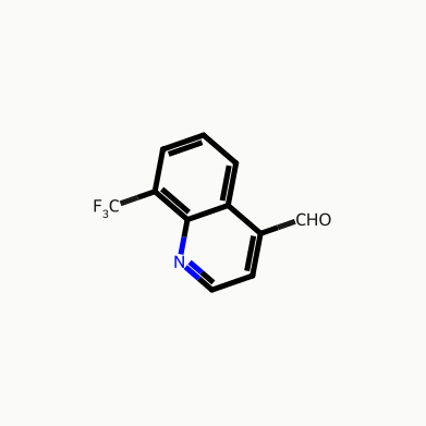 O=Cc1ccnc2c(C(F)(F)F)cccc12